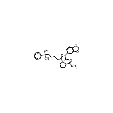 CC(C)[C@@](C#N)(CCCCC(=O)[N@@+]1(C(C)Cc2ccc3c(c2)OCO3)CCCC1C(N)=O)c1ccccc1